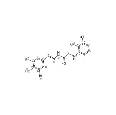 O=C(CNc1cccc(Cl)c1Cl)NN=Cc1cc(Br)c(O)c(Br)c1